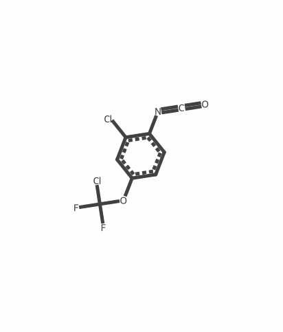 O=C=Nc1ccc(OC(F)(F)Cl)cc1Cl